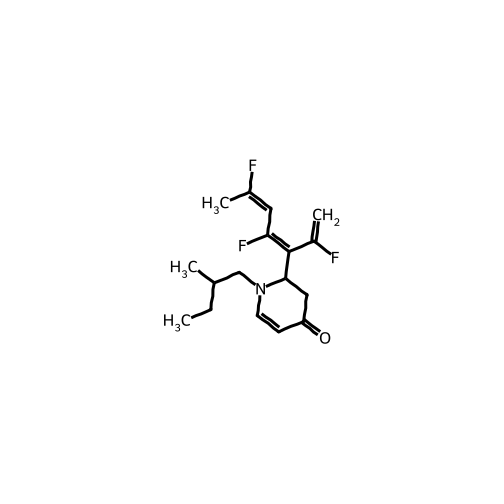 C=C(F)/C(=C(F)\C=C(/C)F)C1CC(=O)C=CN1CC(C)CC